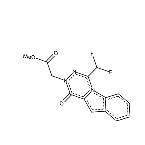 COC(=O)Cn1nc(C(F)F)n2c(cc3ccccc32)c1=O